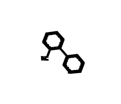 N#Cc1ccccc1-c1c[c]ccc1